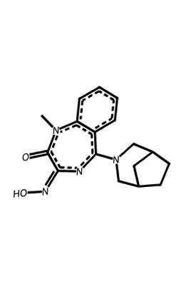 Cn1c(=O)c(=NO)nc(N2CC3CCC(C3)C2)c2ccccc21